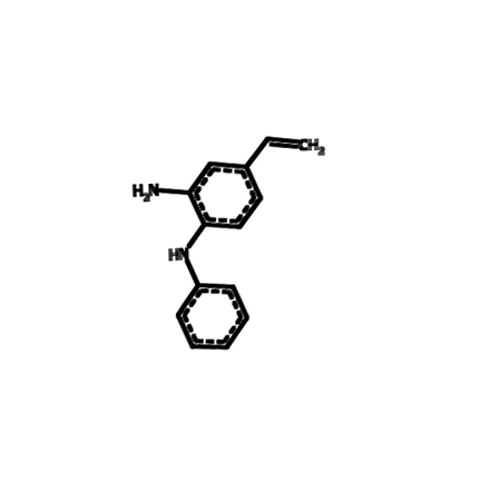 C=Cc1ccc(Nc2ccccc2)c(N)c1